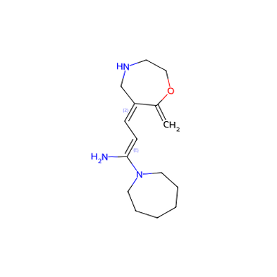 C=C1OCCNC/C1=C/C=C(\N)N1CCCCCC1